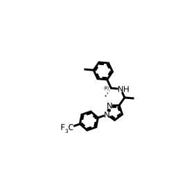 Cc1cccc([C@@H](C)NC(C)c2ccn(-c3ccc(C(F)(F)F)cc3)n2)c1